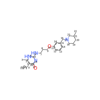 CCCc1c(C)[nH]c(NCCCOc2cccc(CN3CCCC(C)C3)c2)nc1=O